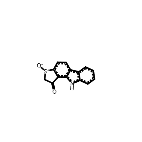 O=C1C[S+]([O-])c2ccc3c([nH]c4ccccc43)c21